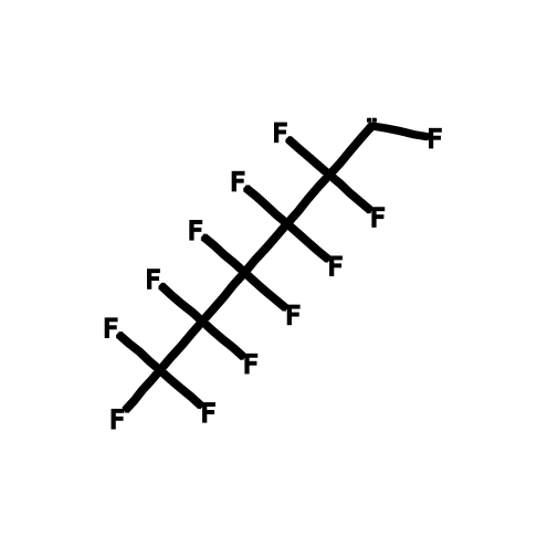 F[C]C(F)(F)C(F)(F)C(F)(F)C(F)(F)C(F)(F)F